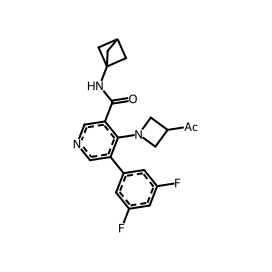 CC(=O)C1CN(c2c(C(=O)NC34CC(C3)C4)cncc2-c2cc(F)cc(F)c2)C1